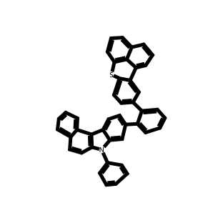 c1ccc(-n2c3cc(-c4ccccc4-c4ccc5c(c4)-c4cccc6cccc(c46)S5)ccc3c3c4ccccc4ccc32)cc1